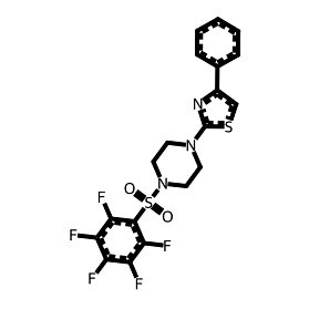 O=S(=O)(c1c(F)c(F)c(F)c(F)c1F)N1CCN(c2nc(-c3ccccc3)cs2)CC1